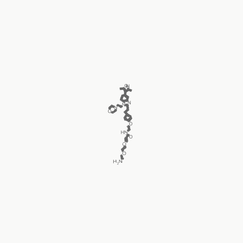 Cc1noc(C)c1-c1ccc2c(c1)nc(CCc1ccc(OCCNC(=O)C=COCCOCCN)cc1)n2CCN1CCOCC1